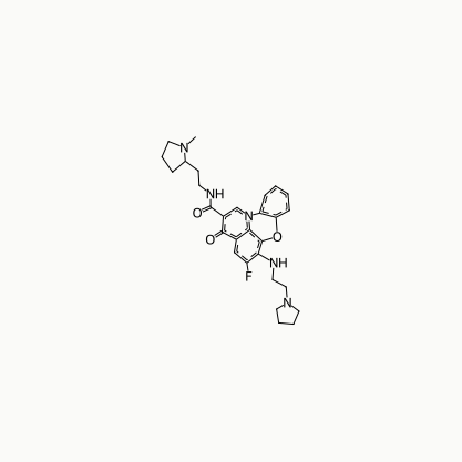 CN1CCCC1CCNC(=O)c1cn2c3c(c(NCCN4CCCC4)c(F)cc3c1=O)Oc1ccccc1-2